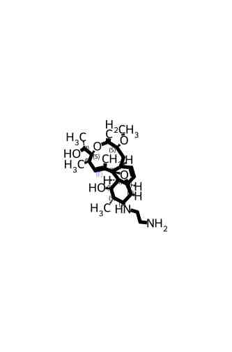 C=C1O[C@H]([C@@H](C)O)[C@H](C)/C=C(\C)[C@]23O[C@@H]4[C@H](C=C[C@@H]2C[C@@H]1OC)[C@H]3[C@H](O)[C@@H](C)[C@@H]4NCCN